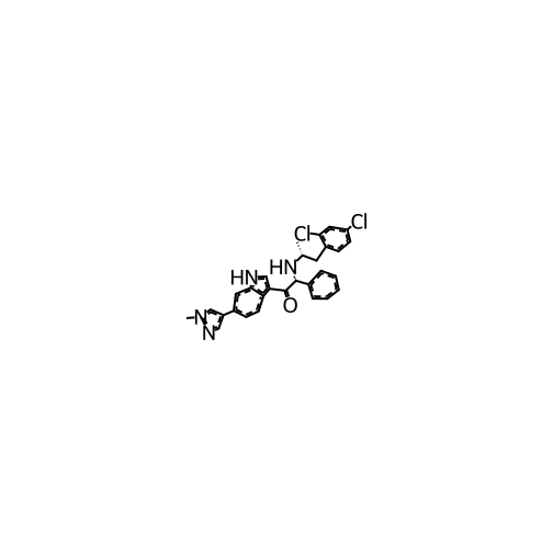 C[C@H](Cc1ccc(Cl)cc1Cl)N[C@@H](C(=O)c1c[nH]c2cc(-c3cnn(C)c3)ccc12)c1ccccc1